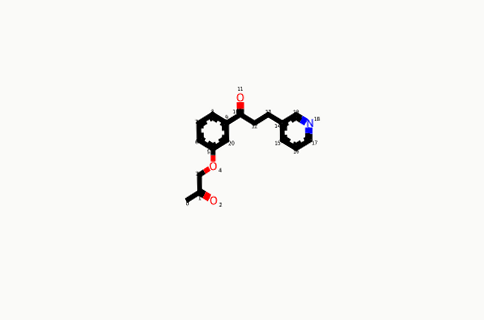 CC(=O)COc1cccc(C(=O)CCc2cccnc2)c1